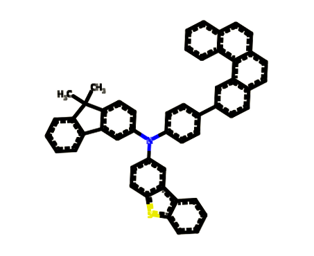 CC1(C)c2ccccc2-c2cc(N(c3ccc(-c4ccc5ccc6ccc7ccccc7c6c5c4)cc3)c3ccc4sc5ccccc5c4c3)ccc21